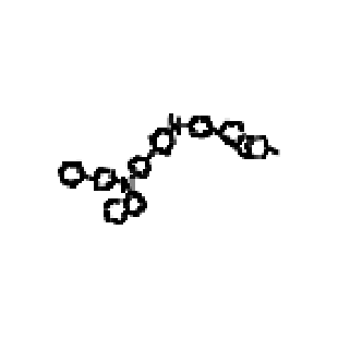 CC1CC2=Cc3cc(-c4ccc(N(C)c5ccc(-c6ccc(N(c7ccc(-c8ccccc8)cc7)c7cccc8ccccc78)cc6)cc5)cc4)ccc3C(C2)C1